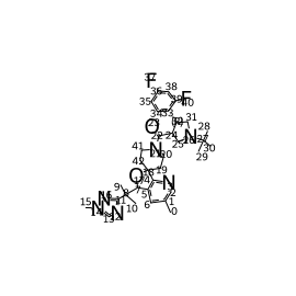 Cc1cnc2c(c1)C(C(C)(C)c1ncn(C)n1)OC21CCN(C(=O)C2CN(C(C)(C)C)C[C@H]2c2ccc(F)cc2F)CC1